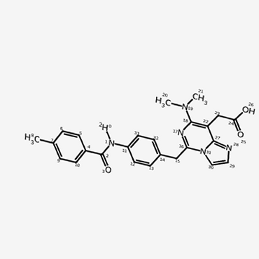 [2H]N(C(=O)c1ccc(C)cc1)c1ccc(Cc2nc(N(C)C)c(CC(=O)O)c3nccn23)cc1